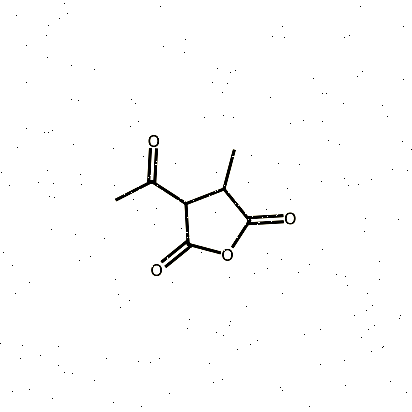 CC(=O)C1C(=O)OC(=O)C1C